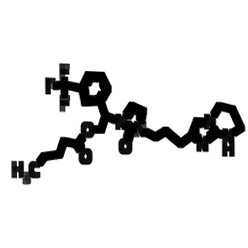 CCCCC(=O)OCC(c1cccc(C(F)(F)F)c1)n1ccn(CCCc2cn3c(n2)NCCC3)c1=O